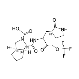 O=C(COC(F)(F)F)C(C[C@@H]1CCNC1=O)NC(=O)[C@@H]1[C@H]2CCC[C@H]2CN1C(=O)O